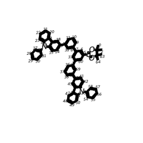 CC1(C)OB(c2cc(-c3cccc(-c4ccc5c(c4)c4ccccc4n5-c4ccccc4)c3)cc(-c3cccc(-c4ccc5c(c4)c4ccccc4n5-c4ccccc4)c3)c2)OC1(C)C